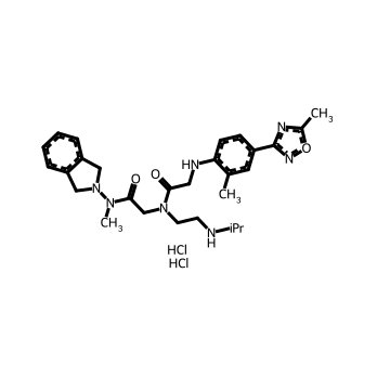 Cc1nc(-c2ccc(NCC(=O)N(CCNC(C)C)CC(=O)N(C)N3Cc4ccccc4C3)c(C)c2)no1.Cl.Cl